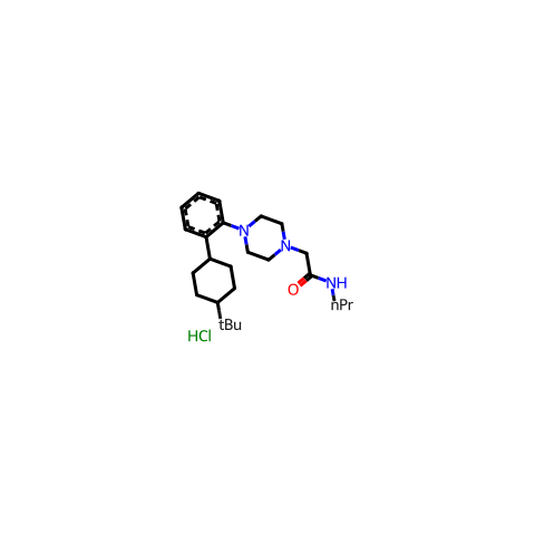 CCCNC(=O)CN1CCN(c2ccccc2C2CCC(C(C)(C)C)CC2)CC1.Cl